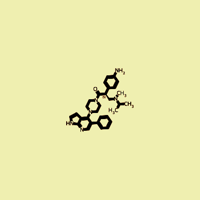 CC(C)N(C)C[C@@H](C(=O)N1CCN(c2c(-c3ccccc3)cnc3[nH]ccc23)CC1)c1ccc(N)cc1